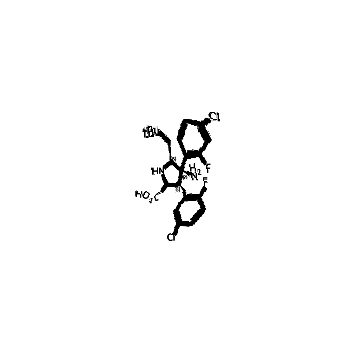 CC(C)(C)C[C@@H]1NC(C(=O)O)[C@H](c2cc(Cl)ccc2F)[C@@]1(N)c1ccc(Cl)cc1F